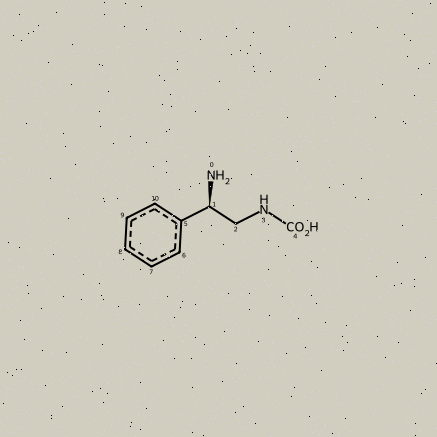 N[C@@H](CNC(=O)O)c1ccccc1